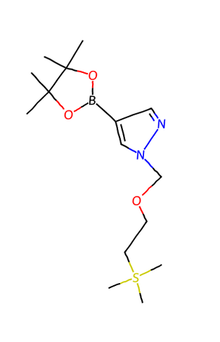 CC1(C)OB(c2cnn(COCCS(C)(C)C)c2)OC1(C)C